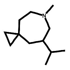 CC(C)C1CN(C)CCC2(CC2)C1